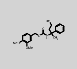 COc1ccc(COC(=O)NC(C)(CCO)c2ccccc2)cc1OC